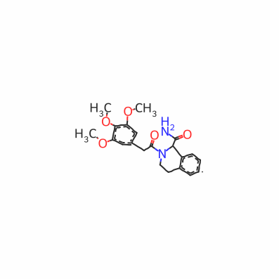 COc1cc(CC(=O)N2CCc3c[c]ccc3C2C(N)=O)cc(OC)c1OC